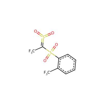 O=S(=O)=C(C(F)(F)F)S(=O)(=O)c1ccccc1C(F)(F)F